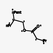 CCCCCC(CCC)COC(=O)CC(C)C